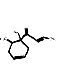 C/C=C/C(=O)C1(C)CC=CCC1C